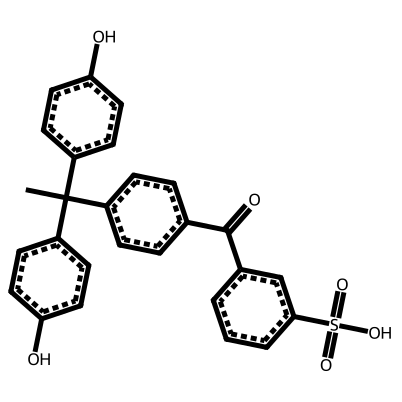 CC(c1ccc(O)cc1)(c1ccc(O)cc1)c1ccc(C(=O)c2cccc(S(=O)(=O)O)c2)cc1